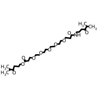 CC(C)C(=O)CCCNC(=O)CCOCCOCCOCCOCCOCCC(=O)OCCCC(=O)C(C)C